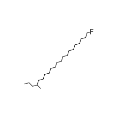 CCCC(C)CCCCCCCCCCCCCCCCCF